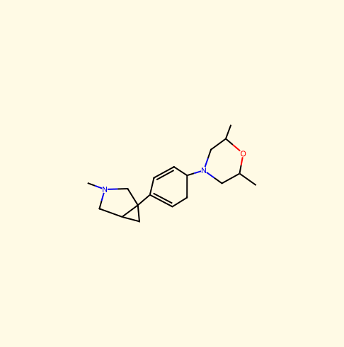 CC1CN(C2C=CC(C34CC3CN(C)C4)=CC2)CC(C)O1